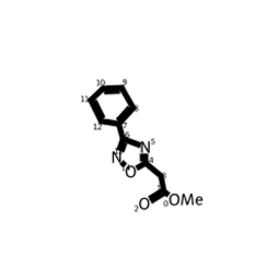 COC(=O)Cc1nc(-c2ccccc2)no1